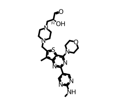 CNc1ncc(-c2nc(N3CCOCC3)c3sc(CN4CCN(C[C@H](O)C=O)CC4)c(C)c3n2)cn1